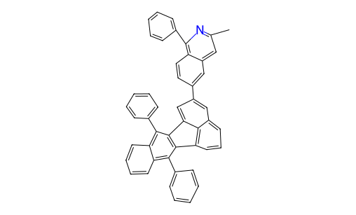 Cc1cc2cc(-c3cc4c5c(cccc5c3)-c3c-4c(-c4ccccc4)c4ccccc4c3-c3ccccc3)ccc2c(-c2ccccc2)n1